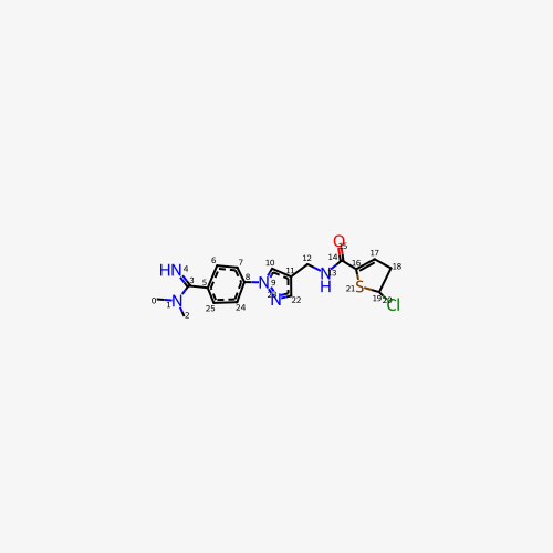 CN(C)C(=N)c1ccc(-n2cc(CNC(=O)C3=CCC(Cl)S3)cn2)cc1